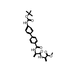 C=C(NC(=O)c1ccc(-c2ccc(NC(=O)OC(C)(C)C)cc2)cc1)C(=O)NC(=C)C(=O)OC